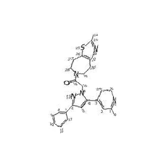 Cc1cc(-c2cc(-c3ccccc3)nn2CC(=O)N2CCc3nc(C)sc3CC2)ccn1